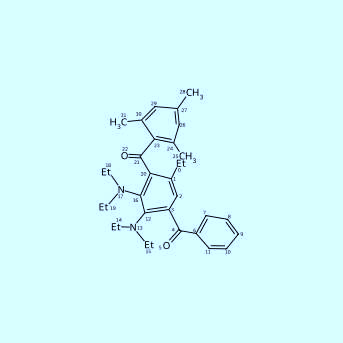 CCc1cc(C(=O)c2ccccc2)c(N(CC)CC)c(N(CC)CC)c1C(=O)c1c(C)cc(C)cc1C